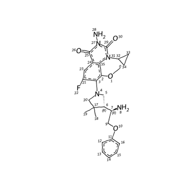 COc1c(N2C[C@H]([C@@H](N)COc3ccccc3)C(C)(C)C2)c(F)cc2c(=O)n(N)c(=O)n(C3CC3)c12